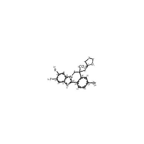 O=C(O)C1(CC2CCCO2)Cn2c(nc3cc(F)c(F)cc32)-c2ccc(Br)cc21